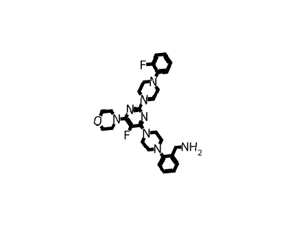 NCc1ccccc1N1CCN(c2nc(N3CCN(c4ccccc4F)CC3)nc(N3CCOCC3)c2F)CC1